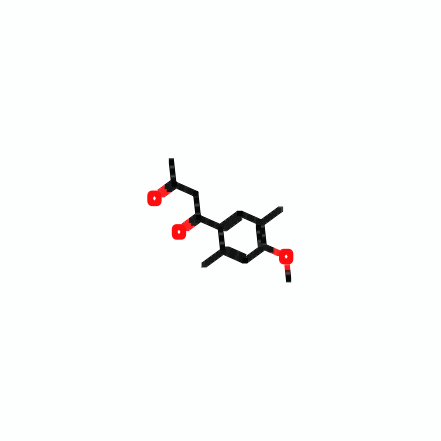 COc1cc(C)c(C(=O)CC(C)=O)cc1C